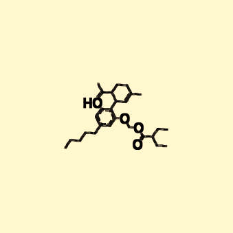 C=C(C)C1CCC(C)=CC1c1c(O)cc(CCCCC)cc1OCOC(=O)C(CC)CC